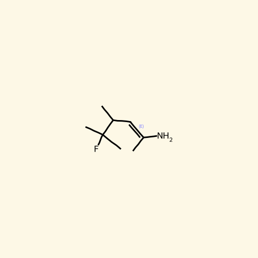 C/C(N)=C\C(C)C(C)(C)F